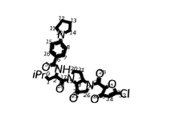 CC(C)CC(NC(=O)c1ccc(N2CCCC2)cc1)C(=O)N1CCC2C1C(=O)CN2C(=O)C1OC(Cl)=CC1=O